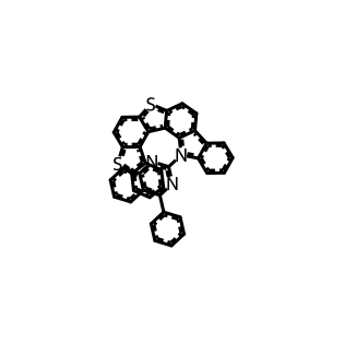 c1ccc(-c2nc(-n3c4ccccc4c4ccc5sc6ccc7sc8ccccc8c7c6c5c43)nc3ccccc23)cc1